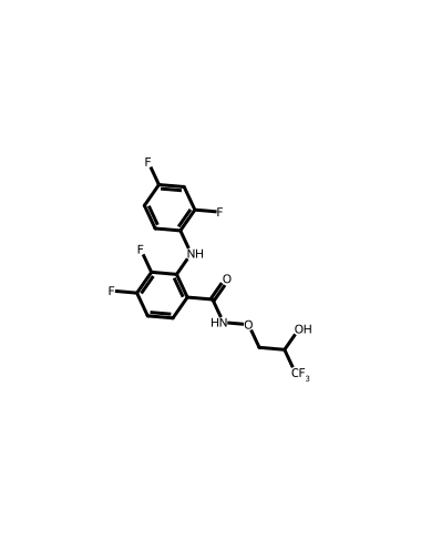 O=C(NOCC(O)C(F)(F)F)c1ccc(F)c(F)c1Nc1ccc(F)cc1F